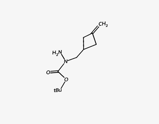 C=C1CC(CN(N)C(=O)OC(C)(C)C)C1